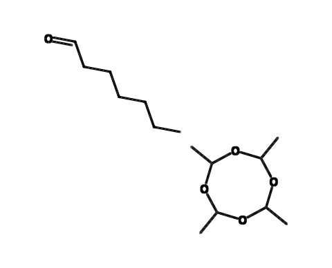 CC1OC(C)OC(C)OC(C)O1.CCCCCCC=O